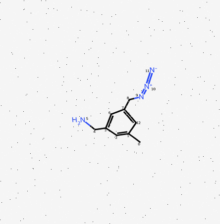 Cc1cc(CN)cc(CN=[N+]=[N-])c1